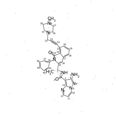 C[C@@H](NC(=O)c1c(N)nn2cccnc12)c1cc2cccc(C#CCN3CCN(C)CC3)c2c(=O)n1-c1ccccc1